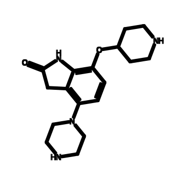 O=C1Cc2c(N3CCNCC3)ccc(OC3CCNCC3)c2N1